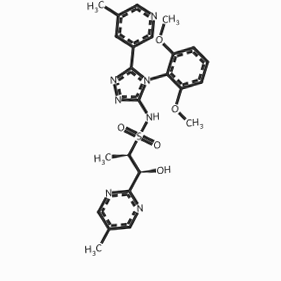 COc1cccc(OC)c1-n1c(NS(=O)(=O)[C@H](C)[C@@H](O)c2ncc(C)cn2)nnc1-c1cncc(C)c1